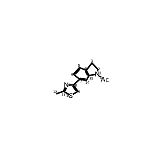 CC(=O)N1CCc2ccc(-c3csc(C)n3)cc21